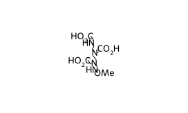 CONCN(CCN(CCNCC(=O)O)CC(=O)O)CC(=O)O